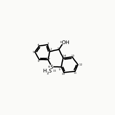 OC1c2ccccc2Sc2ccccc21.S